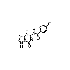 O=C(Nc1nc(=O)c2[nH]cnc2[nH]1)c1ccc(Cl)cc1